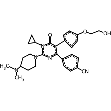 CN(C)C1CCN(c2nc(-c3ccc(C#N)cc3)c(-c3ccc(OCCO)cc3)c(=O)n2C2CC2)CC1